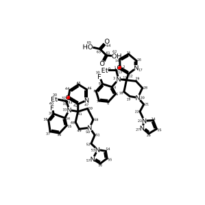 CCC(=O)N(c1ccccc1F)C1(c2ccccn2)CCN(CCn2cccn2)CC1.CCC(=O)N(c1ccccc1F)C1(c2ccccn2)CCN(CCn2cccn2)CC1.O=C(O)C(=O)O